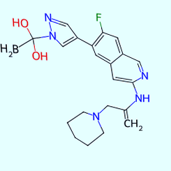 BC(O)(O)n1cc(-c2cc3cc(NC(=C)CN4CCCCC4)ncc3cc2F)cn1